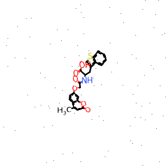 Cc1cc(=O)oc2cc(OCC(=O)NC(Cc3csc4ccccc34)C(=O)O)ccc12